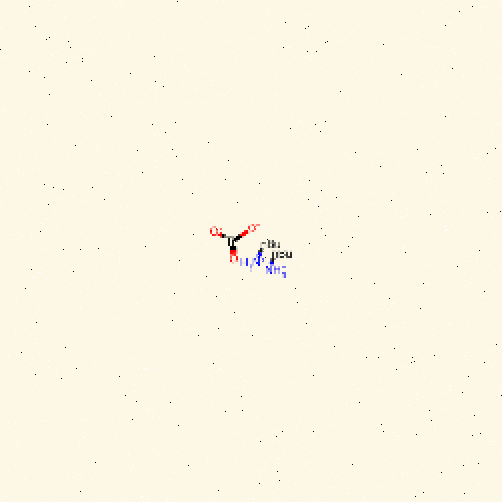 CCCC[NH3+].CCCC[NH3+].[O]=[Ti]([O-])[O-]